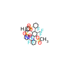 CS(=O)(=O)c1ccccc1-c1[c]c(C(F)(F)F)c(-c2ccccc2S(C)(=O)=O)c(-c2ccccc2S(N)(=O)=O)c1-c1ccccc1C(F)(F)F